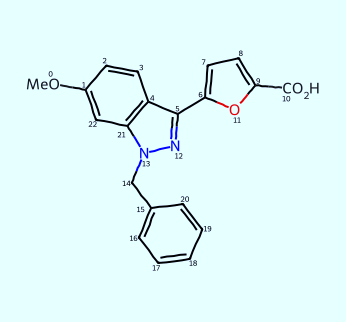 COc1ccc2c(-c3ccc(C(=O)O)o3)nn(Cc3ccccc3)c2c1